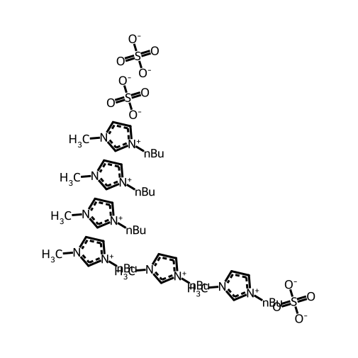 CCCC[n+]1ccn(C)c1.CCCC[n+]1ccn(C)c1.CCCC[n+]1ccn(C)c1.CCCC[n+]1ccn(C)c1.CCCC[n+]1ccn(C)c1.CCCC[n+]1ccn(C)c1.O=S(=O)([O-])[O-].O=S(=O)([O-])[O-].O=S(=O)([O-])[O-]